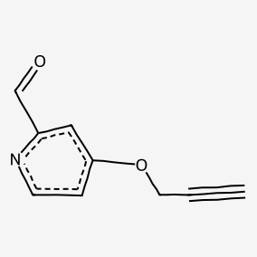 C#CCOc1ccnc(C=O)c1